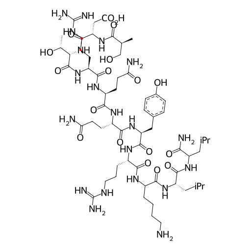 CC(C)CC(NC(=O)[C@H](CC(C)C)NC(=O)C(CCCCN)NC(=O)[C@H](CCCNC(=N)N)NC(=O)[C@H](Cc1ccc(O)cc1)NC(=O)[C@H](CCC(N)=O)NC(=O)[C@H](CCC(N)=O)NC(=O)[C@H](CCCNC(=N)N)NC(=O)[C@@H](NC(=O)[C@H](CC(=O)O)NC(=O)[C@@H](C)CO)[C@@H](C)O)C(N)=O